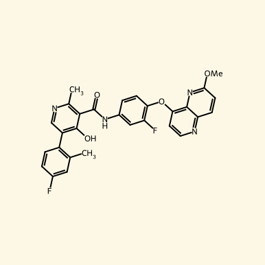 COc1ccc2nccc(Oc3ccc(NC(=O)c4c(C)ncc(-c5ccc(F)cc5C)c4O)cc3F)c2n1